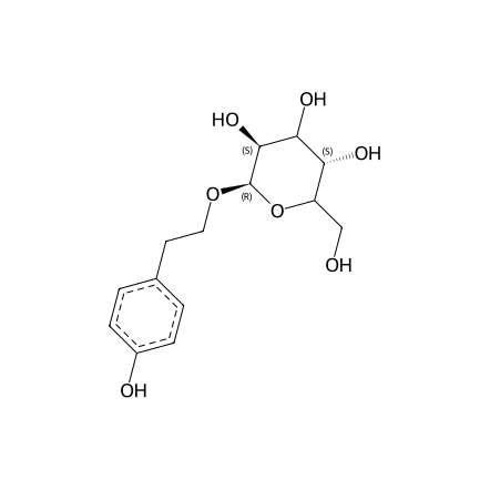 OCC1O[C@@H](OCCc2ccc(O)cc2)[C@@H](O)C(O)[C@@H]1O